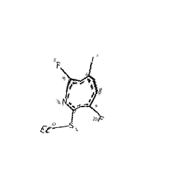 CCSc1nc(F)c(I)cc1F